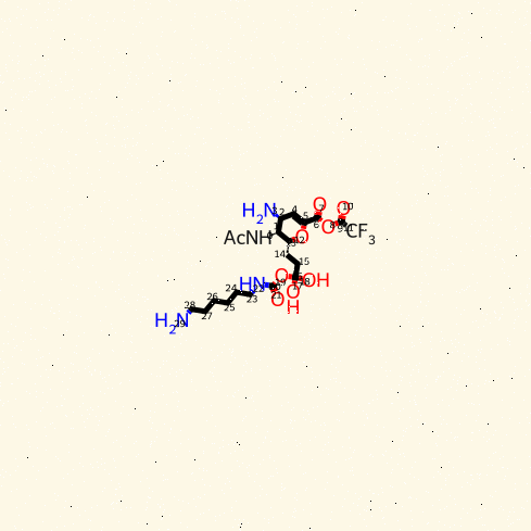 CC(=O)N[C@@H]1[C@@H](N)C=C(C(=O)OC(=O)C(F)(F)F)O[C@@H]1CCC(O)(O)OC(=O)NCCCCCCN